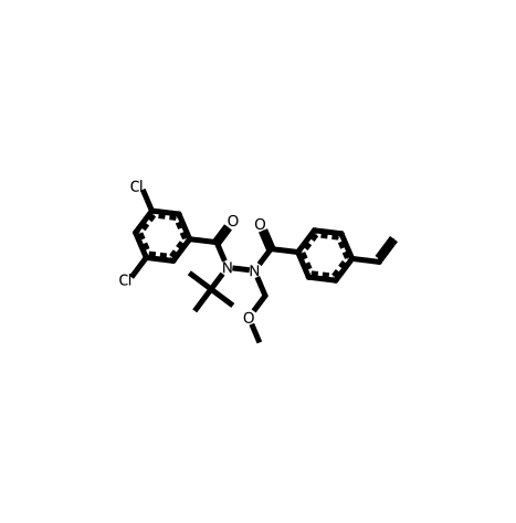 C=Cc1ccc(C(=O)N(COC)N(C(=O)c2cc(Cl)cc(Cl)c2)C(C)(C)C)cc1